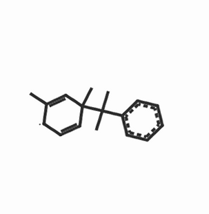 CC1=CC(C)(C(C)(C)c2ccccc2)C=C[CH]1